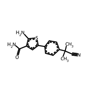 CC(C)(C#N)c1ccc(-c2cc(C(N)=O)c(N)s2)cc1